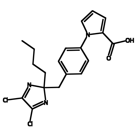 CCCCC1(Cc2ccc(-n3cccc3C(=O)O)cc2)N=C(Cl)C(Cl)=N1